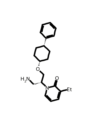 CCc1cccn([C@H](CN)CO[C@H]2CC[C@@H](c3ccccc3)CC2)c1=O